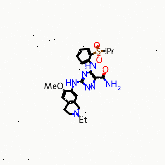 CCN1CCc2cc(OC)c(Nc3nnc(C(N)=O)c(Nc4ccccc4S(=O)(=O)C(C)C)n3)cc2C1